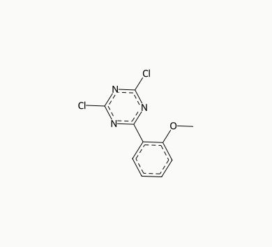 COc1ccccc1-c1nc(Cl)nc(Cl)n1